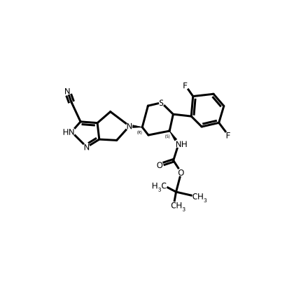 CC(C)(C)OC(=O)N[C@H]1C[C@@H](N2Cc3n[nH]c(C#N)c3C2)CSC1c1cc(F)ccc1F